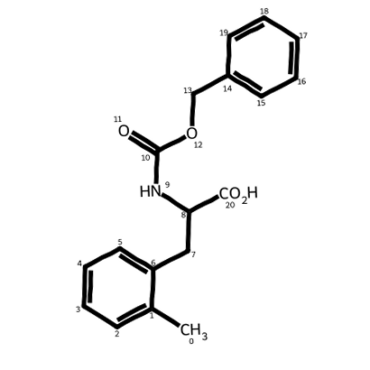 Cc1ccccc1CC(NC(=O)OCc1ccccc1)C(=O)O